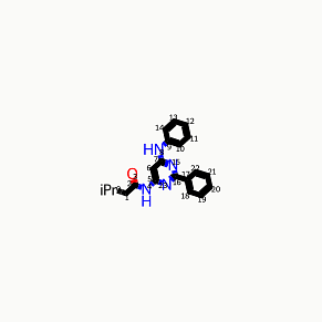 CC(C)CC(=O)Nc1cc(Nc2ccccc2)nc(-c2ccccc2)n1